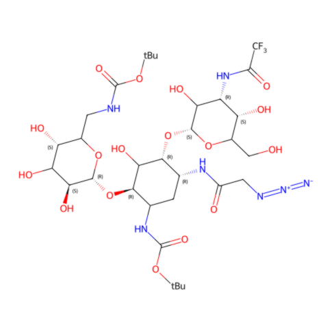 CC(C)(C)OC(=O)NCC1O[C@H](O[C@@H]2C(NC(=O)OC(C)(C)C)C[C@@H](NC(=O)CN=[N+]=[N-])[C@@H](O[C@H]3OC(CO)[C@@H](O)[C@@H](NC(=O)C(F)(F)F)C3O)C2O)[C@@H](O)C(O)[C@@H]1O